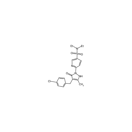 CCN(CC)S(=O)(=O)c1ccc(-n2[nH]c(C)c(Cc3ccc(Cl)cc3)c2=O)nc1